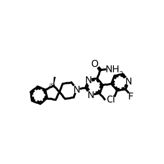 Cc1nc(N2CCC3(CC2)Cc2ccccc2[C@H]3C)nc(C(N)=O)c1-c1ccnc(F)c1Cl